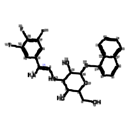 N/C(=C\NC1C(O)C(CO)OC(Sc2cccc3ccccc23)C1O)c1cc(F)c(F)c(F)c1